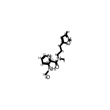 Cc1cc(CCCN(C)C(=O)c2ncccc2NC=O)on1